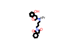 CCCN(CCCCN1C(=O)CC2(CCCCC2)C1=O)C1COc2cccc(O)c2C1